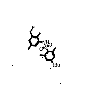 Cc1cc(CF)c(C)c(NS(=O)(=O)c2c(C)cc(C(C)(C)C)cc2C)c1